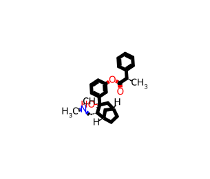 C[C@H](C(=O)Oc1cccc([C@@]2(O)C[C@H]3CC[C@H](C3)[C@@H]2CN(C)C)c1)c1ccccc1